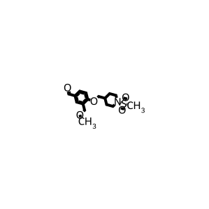 COCc1cc(C=O)ccc1OCC1CCN(S(C)(=O)=O)CC1